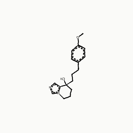 COc1ccc(CCCC2(O)CCCn3cncc32)cc1